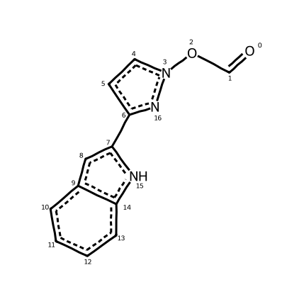 O=COn1ccc(-c2cc3ccccc3[nH]2)n1